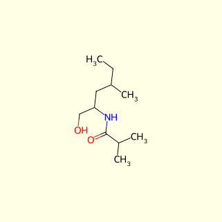 CCC(C)CC(CO)NC(=O)C(C)C